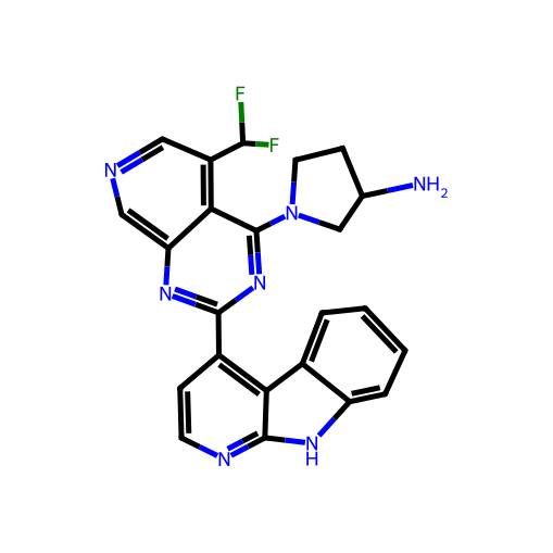 NC1CCN(c2nc(-c3ccnc4[nH]c5ccccc5c34)nc3cncc(C(F)F)c23)C1